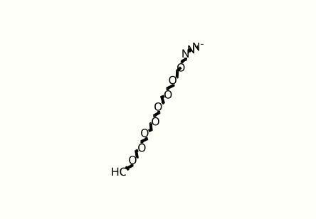 C#CCOCCOCCOCCOCCOCCOCCOCCOCCN=[N+]=[N-]